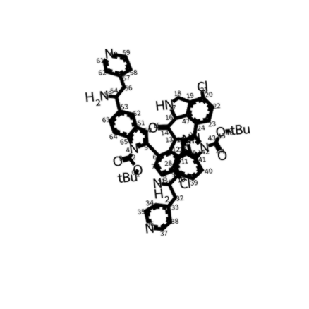 CC(C)(C)OC(=O)n1c(-c2ccc(Cl)c3c2C(C(=O)C2NCc4c(Cl)ccc(-c5cc6cc(C(N)Cc7ccncc7)ccc6n5C(=O)OC(C)(C)C)c42)NC3)cc2cc(C(N)Cc3ccncc3)ccc21